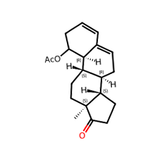 CC(=O)OC1CC=CC2=CC[C@@H]3[C@H](CC[C@]4(C)C(=O)CC[C@@H]34)[C@H]21